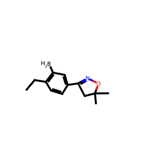 Bc1cc(C2=NOC(C)(C)C2)ccc1CC